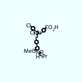 COc1cc(-c2ccc(/C=C/c3nc(-c4ccc(Cl)cc4Cl)cn3Cc3ccc(C(=O)O)cc3)cc2)ccc1NC(=O)CC(C)C